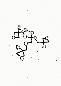 CCC1(COCC(O[SiH3])(OCC2(CC)COC2)OCC2(CC)COC2)COC1